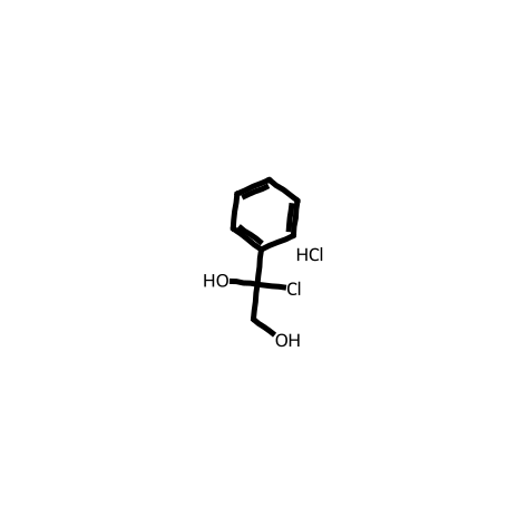 Cl.OCC(O)(Cl)c1ccccc1